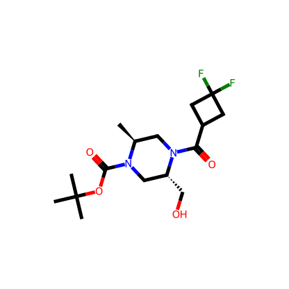 C[C@H]1CN(C(=O)C2CC(F)(F)C2)[C@H](CO)CN1C(=O)OC(C)(C)C